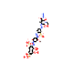 CCn1c(O)c(/N=N/c2ccc(/N=N/c3cc(O)c(/N=N/c4c(S(=O)(=O)O)cc5cc(S(=O)(=O)O)cc(O)c5c4O)cc3OC)c(S(=O)(=O)O)c2)c(C)c(C(N)=O)c1=O